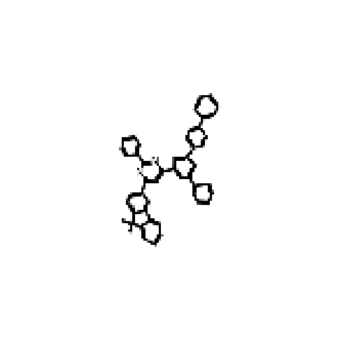 CC1(C)c2ccccc2-c2cc(-c3cc(-c4cc(-c5ccccc5)cc(-c5ccc(-c6ccccc6)cc5)c4)nc(-c4ccccc4)n3)ccc21